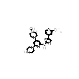 Cc1cc(-c2cnc(Nc3cc(N4CCN(C)CC4)cc(N4CCNCC4)n3)s2)ccn1